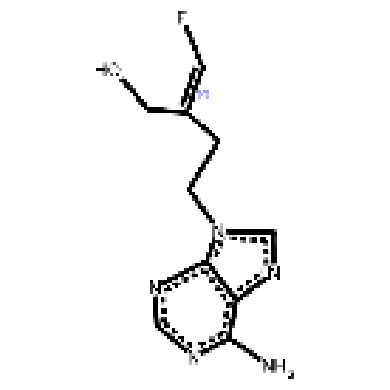 Nc1ncnc2c1ncn2CC/C(=C/F)CO